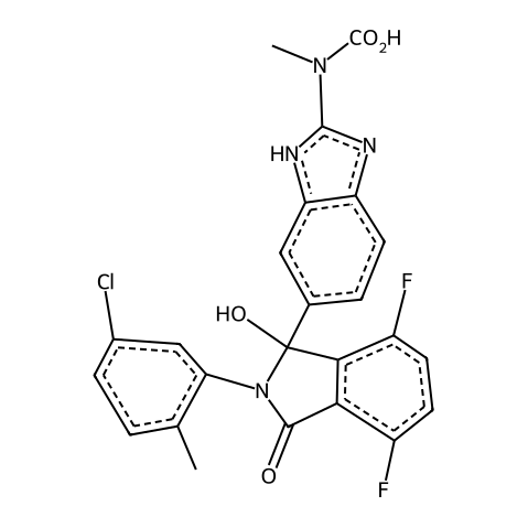 Cc1ccc(Cl)cc1N1C(=O)c2c(F)ccc(F)c2C1(O)c1ccc2nc(N(C)C(=O)O)[nH]c2c1